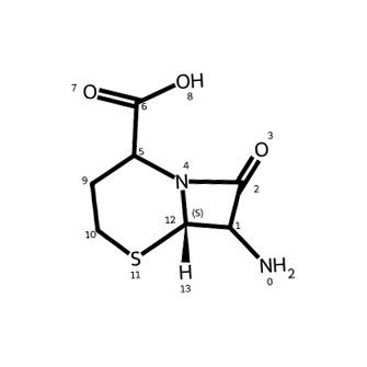 NC1C(=O)N2C(C(=O)O)CCS[C@@H]12